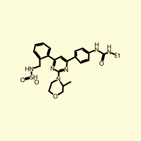 CCNC(=O)Nc1ccc(-c2cc(-c3ccccc3CN[SH](=O)=O)nc(N3CCOCC3C)n2)cc1